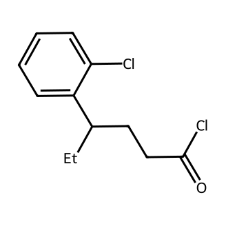 CCC(CCC(=O)Cl)c1ccccc1Cl